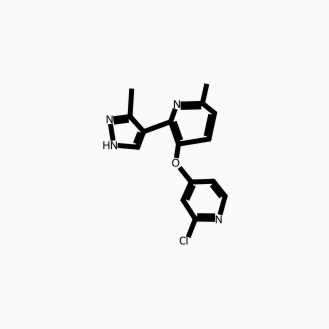 Cc1ccc(Oc2ccnc(Cl)c2)c(-c2c[nH]nc2C)n1